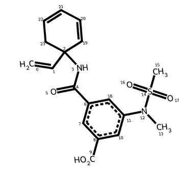 C=CC1(NC(=O)c2cc(C(=O)O)cc(N(C)S(C)(=O)=O)c2)C=CC=CC1